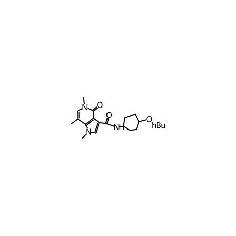 CCCCOC1CCC(NC(=O)c2cn(C)c3c(C)cn(C)c(=O)c23)CC1